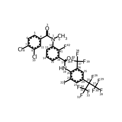 CN(C(=O)c1ccc(Cl)c(Cl)c1)c1cccc(C(=O)Nc2c(I)cc(C(F)(C(F)(F)F)C(F)(F)F)cc2C(F)(F)F)c1F